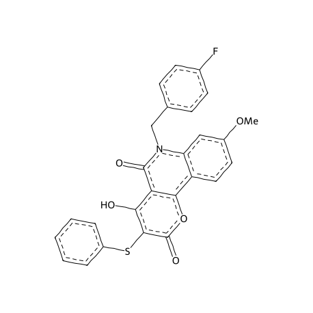 COc1ccc2c3oc(=O)c(Sc4ccccc4)c(O)c3c(=O)n(Cc3ccc(F)cc3)c2c1